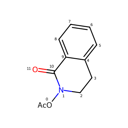 CC(=O)ON1CCc2ccccc2C1=O